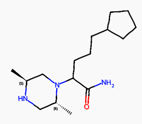 C[C@@H]1CN[C@@H](C)CN1C(CCCC1CCCC1)C(N)=O